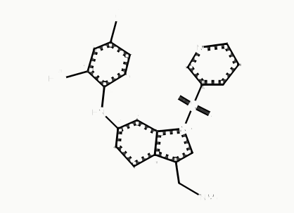 CNCc1cn(S(=O)(=O)c2cccnc2)c2cc(Nc3ccc(Cl)cc3C)ccc12